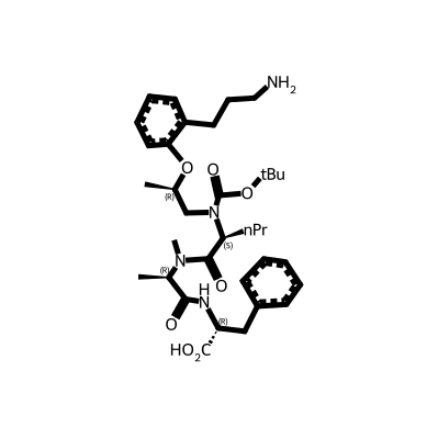 CCC[C@@H](C(=O)N(C)[C@H](C)C(=O)N[C@H](Cc1ccccc1)C(=O)O)N(C[C@@H](C)Oc1ccccc1CCCN)C(=O)OC(C)(C)C